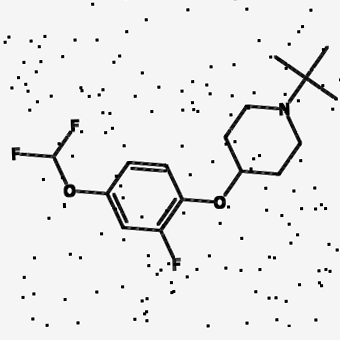 CC(C)(C)N1CCC(Oc2ccc(OC(F)F)cc2F)CC1